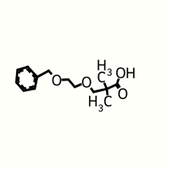 CC(C)(COCCOCc1ccccc1)C(=O)O